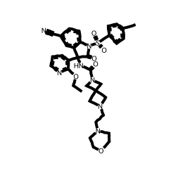 CCOc1ncccc1C1(NC(=O)N2CC3(CN(CCN4CCOCC4)C3)C2)C(=O)N(S(=O)(=O)c2ccc(C)cc2)c2ccc(C#N)cc21